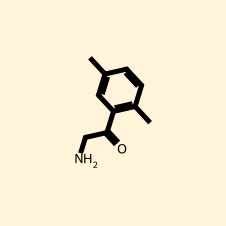 Cc1ccc(C)c(C(=O)CN)c1